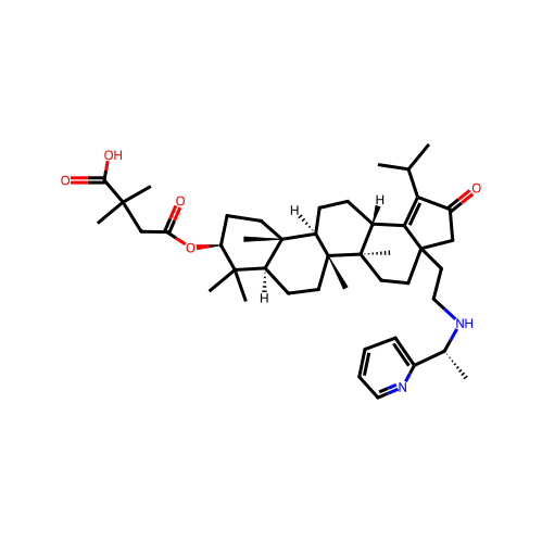 CC(C)C1=C2[C@H]3CC[C@@H]4[C@@]5(C)CC[C@H](OC(=O)CC(C)(C)C(=O)O)C(C)(C)[C@@H]5CC[C@@]4(C)[C@]3(C)CCC2(CCN[C@H](C)c2ccccn2)CC1=O